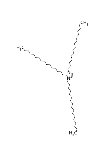 CCCCCCCCCCCCCCCCCN1C=CN(CCCCCCCCCCCCCCCC)C1CCCCCCCCCCCCCCCC